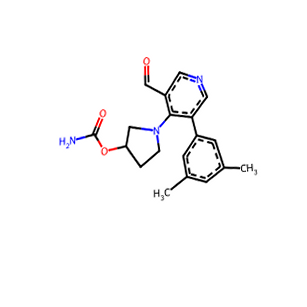 Cc1cc(C)cc(-c2cncc(C=O)c2N2CCC(OC(N)=O)C2)c1